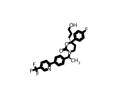 C[C@@H](c1ccc(-c2ccc(C(F)(F)F)cn2)cc1)N1CC[C@](CCCO)(c2ccc(F)cc2)OC1=O